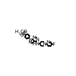 CS(=O)(=O)c1ccc(-n2ncc3c(NC4CCN(c5ccc(F)cn5)CC4)ncnc32)cc1